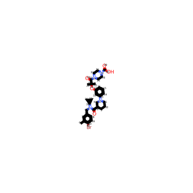 Cc1cc(CN(C(=O)C2CCCN(c3cccc(OC(C)(C)C(=O)N4CCN(C(=O)O)CC4)c3)C2)C2CC2)ccc1Br